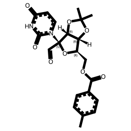 Cc1ccc(C(=O)OC[C@H]2O[C@@](C=O)(n3ccc(=O)[nH]c3=O)[C@@H]3OC(C)(C)O[C@@H]32)cc1